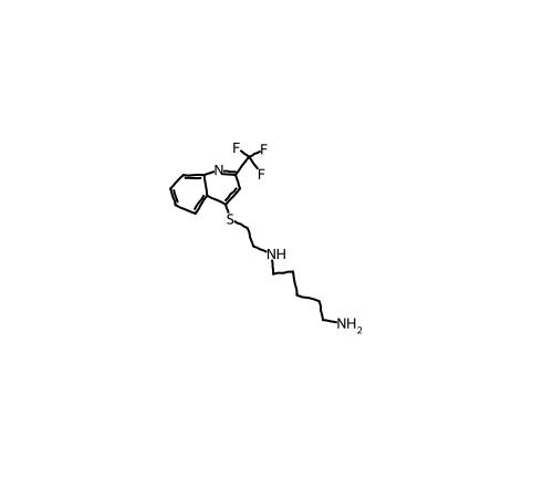 NCCCCCNCCSc1cc(C(F)(F)F)nc2ccccc12